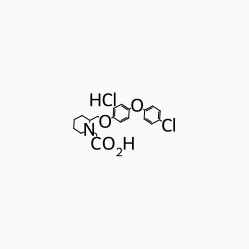 Cl.O=C(O)CN1CCCCC1COc1ccc(Oc2ccc(Cl)cc2)cc1